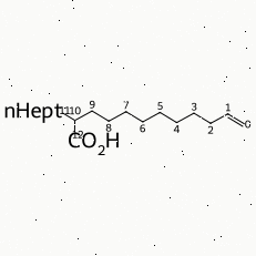 C=CCCCCCCCCC(CCCCCCC)C(=O)O